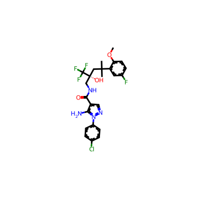 COc1ccc(F)cc1C(C)(C)C[C@@](O)(CNC(=O)c1cnn(-c2ccc(Cl)cc2)c1N)C(F)(F)F